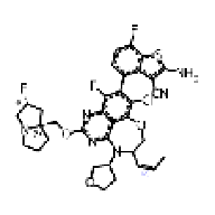 C/C=C\C1COc2c(Cl)c(-c3ccc(F)c4sc(N)c(C#N)c34)c(F)c3nc(OC[C@@]45CCCN4C[C@H](F)C5)nc(c23)N1C1CCOC1